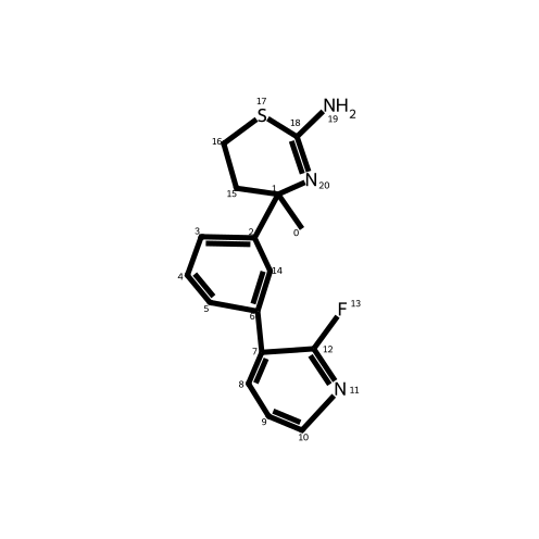 CC1(c2cccc(-c3cccnc3F)c2)CCSC(N)=N1